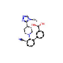 Cn1cnnc1C1CCN(c2c(C#N)cccc2-c2cccc(B(O)O)c2)CC1